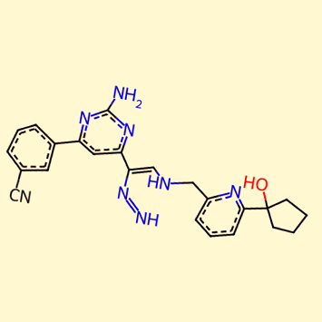 N#Cc1cccc(-c2cc(/C(=C/NCc3cccc(C4(O)CCCC4)n3)N=N)nc(N)n2)c1